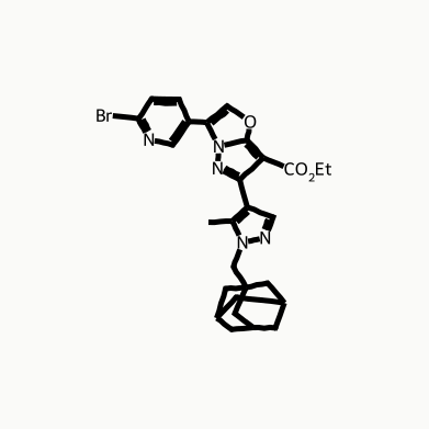 CCOC(=O)c1c(-c2cnn(CC34CC5CC(CC(C5)C3)C4)c2C)nn2c(-c3ccc(Br)nc3)coc12